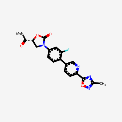 CNC(=O)[C@H]1CN(c2ccc(-c3ccc(-c4nc(C)no4)nc3)c(F)c2)C(=O)O1